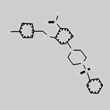 O=[N+]([O-])c1ccc(N2CCN(S(=O)(=O)c3ccccc3)CC2)cc1NCc1ccc(Cl)cc1